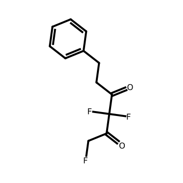 O=C(CF)C(F)(F)C(=O)CCc1ccccc1